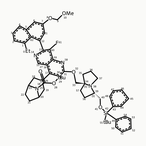 CCc1cccc2cc(OCOC)cc(-c3ncc4c(N5CC6CCC(C5)N6C(=O)OC(C)(C)C)nc(OC[C@@]56CCCN5[C@H](CO[Si](c5ccccc5)(c5ccccc5)C(C)(C)C)CC6)nc4c3F)c12